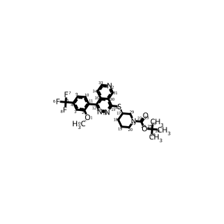 COc1cc(C(F)(F)F)ccc1-c1nnc(S[C@@H]2CCCN(C(=O)OC(C)(C)C)C2)c2cnccc12